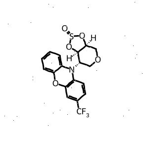 O=S1O[C@H]2[C@H](COC[C@@H]2N2c3ccccc3Oc3cc(C(F)(F)F)ccc32)O1